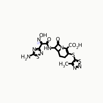 Cc1nnsc1SC1=C(C(=O)O)N2C(=O)C(NC(=O)/C(=N\O)c3nsc(N)n3)C2CC1